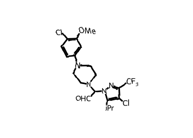 COc1cc(N2CCN(C(C=O)n3nc(C(F)(F)F)c(Cl)c3C(C)C)CC2)ccc1Cl